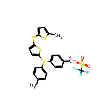 Cc1ccc([S+](c2ccc(C)cc2)c2ccc(Sc3ccc(C)s3)s2)cc1.O=S(=O)([O-])C(F)(F)F